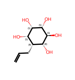 C=CC[C@@H]1[C@H](O)[C@H](O)[C@H](O)[C@@H](O)[C@@H]1O